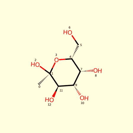 C[C@]1(O)O[C@H](CO)[C@H](O)[C@H](O)[C@H]1O